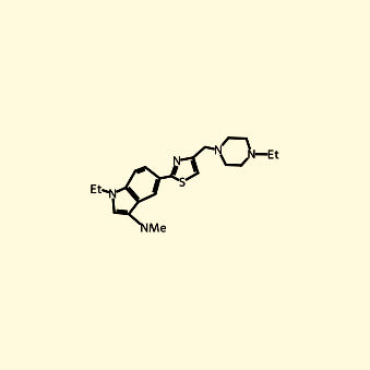 CCN1CCN(Cc2csc(-c3ccc4c(c3)c(NC)cn4CC)n2)CC1